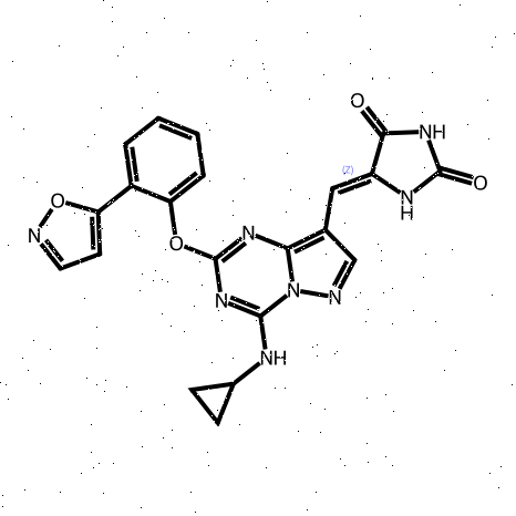 O=C1NC(=O)/C(=C/c2cnn3c(NC4CC4)nc(Oc4ccccc4-c4ccno4)nc23)N1